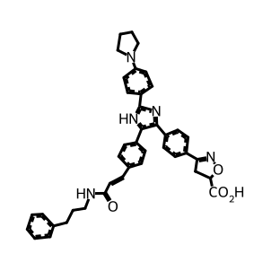 O=C(C=Cc1ccc(-c2[nH]c(-c3ccc(N4CCCC4)cc3)nc2-c2ccc(C3=NOC(C(=O)O)C3)cc2)cc1)NCCCc1ccccc1